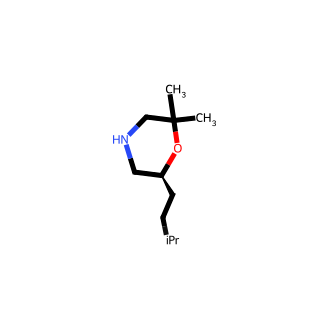 CC(C)CC[C@H]1CNCC(C)(C)O1